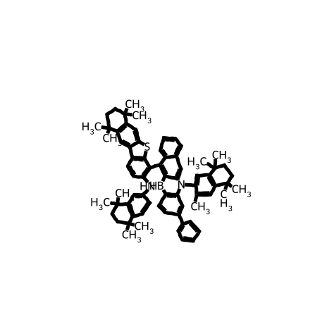 Cc1cc2c(cc1N1c3cc(-c4ccccc4)ccc3Bc3c1cc1ccccc1c3-c1c(Nc3ccc4c(c3)C(C)(C)CCC4(C)C)ccc3c1sc1cc4c(cc13)C(C)(C)CCC4(C)C)C(C)(C)CCC2(C)C